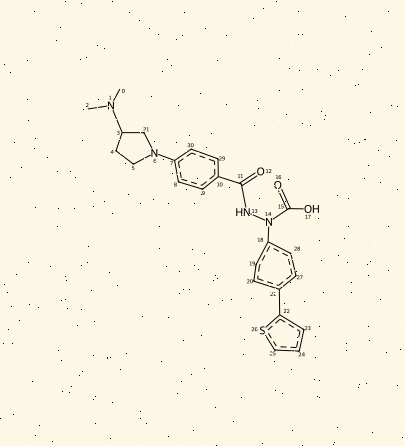 CN(C)C1CCN(c2ccc(C(=O)NN(C(=O)O)c3ccc(-c4cccs4)cc3)cc2)C1